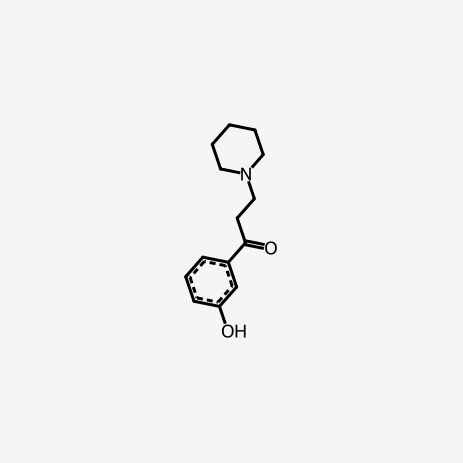 O=C(CCN1CCCCC1)c1cccc(O)c1